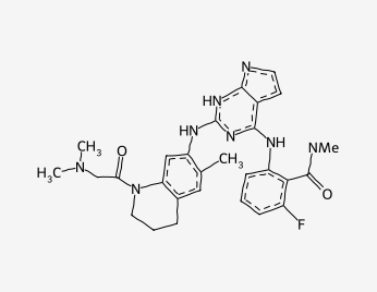 CNC(=O)c1c(F)cccc1Nc1nc(Nc2cc3c(cc2C)CCCN3C(=O)CN(C)C)[nH]c2nccc1-2